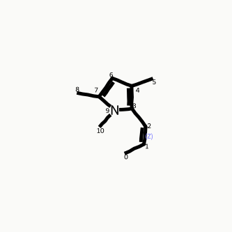 C/C=C\c1c(C)cc(C)n1C